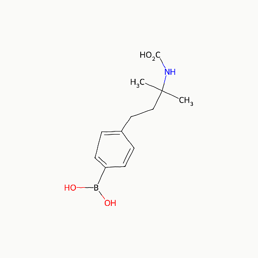 CC(C)(CCc1ccc(B(O)O)cc1)NC(=O)O